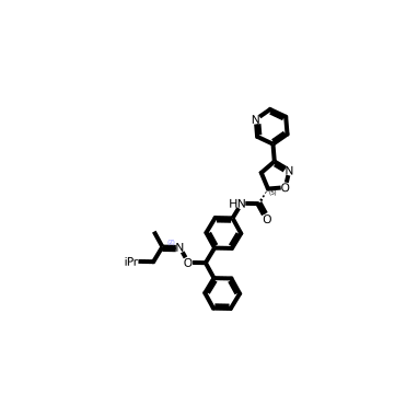 C/C(CC(C)C)=N/OC(c1ccccc1)c1ccc(NC(=O)[C@@H]2CC(c3cccnc3)=NO2)cc1